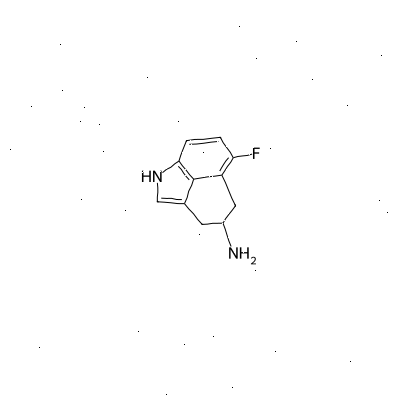 NC1Cc2c[nH]c3ccc(F)c(c23)C1